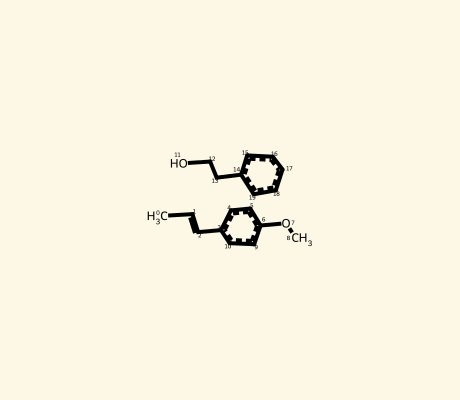 C/C=C/c1ccc(OC)cc1.OCCc1ccccc1